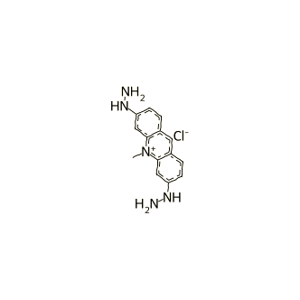 C[n+]1c2cc(NN)ccc2cc2ccc(NN)cc21.[Cl-]